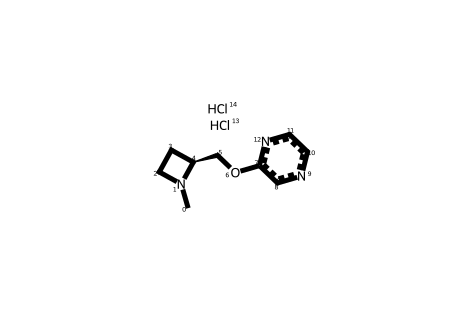 CN1CC[C@H]1COc1cnccn1.Cl.Cl